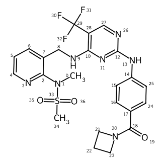 CN(c1ncccc1CNc1nc(Nc2ccc(C(=O)N3CCC3)cc2)ncc1C(F)(F)F)S(C)(=O)=O